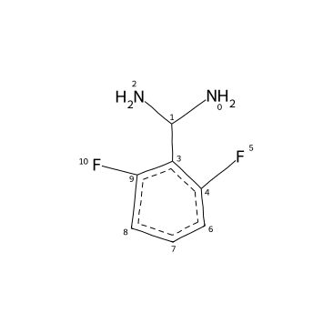 NC(N)c1c(F)cccc1F